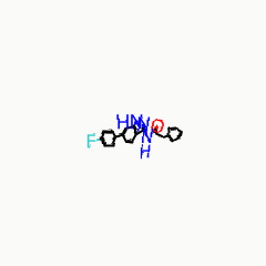 O=C(Cc1ccccc1)Nc1n[nH]c2cc(-c3ccc(F)cc3)ccc12